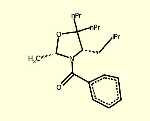 CCCC1(CCC)O[C@@H](C)N(C(=O)c2ccccc2)[C@H]1CC(C)C